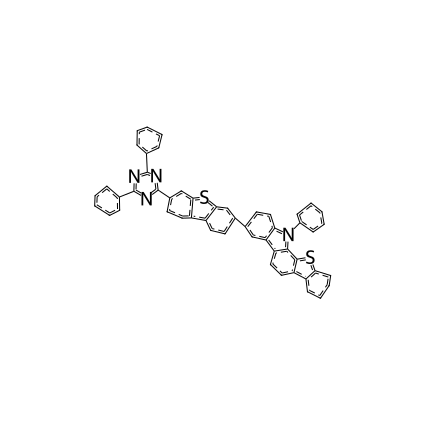 c1ccc(-c2nc(-c3ccccc3)nc(-c3ccc4c(c3)sc3cc(-c5ccc6c(c5)c5ccc7c8ccccc8sc7c5n6-c5ccccc5)ccc34)n2)cc1